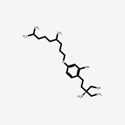 CC[C@@](N)(CO)CCc1ccc(OCCCC(C)CCCC(C)C)cc1O